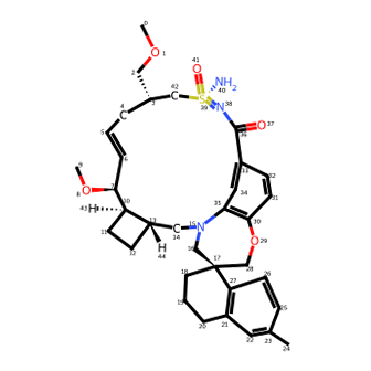 COC[C@H]1C/C=C/[C@H](OC)[C@@H]2CC[C@H]2CN2C[C@@]3(CCCc4cc(C)ccc43)COc3ccc(cc32)C(=O)N=[S@](N)(=O)C1